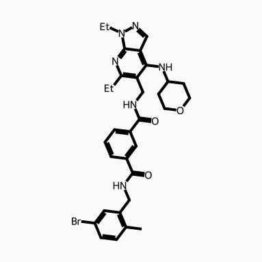 CCc1nc2c(cnn2CC)c(NC2CCOCC2)c1CNC(=O)c1cccc(C(=O)NCc2cc(Br)ccc2C)c1